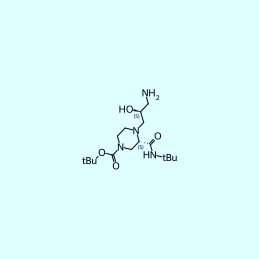 CC(C)(C)NC(=O)[C@@H]1CN(C(=O)OC(C)(C)C)CCN1C[C@@H](O)CN